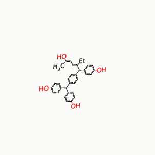 CC/C(=C\C=C(/C)O)C(c1ccc(O)cc1)c1ccc(C(c2ccc(O)cc2)c2ccc(O)cc2)cc1